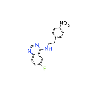 O=[N+]([O-])c1ccc(CCNc2ncnc3ccc(F)cc23)cc1